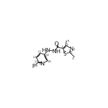 Cc1nc(C)c(C(=O)NNc2ccc(F)nc2)s1